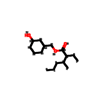 CCCC(C)C(CC)C(=O)OCC1CCCC(O)C1